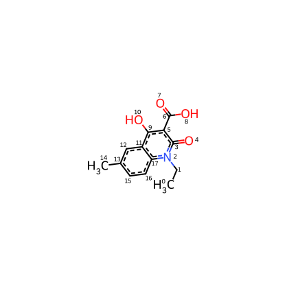 CCn1c(=O)c(C(=O)O)c(O)c2cc(C)ccc21